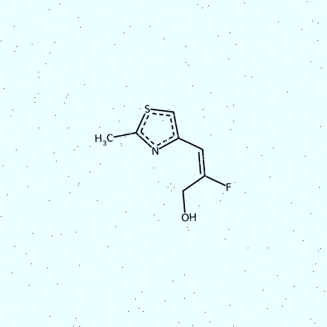 Cc1nc(/C=C(/F)CO)cs1